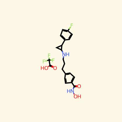 O=C(NO)c1ccc(CCCNC2CC2c2ccc(F)cc2)cc1.O=C(O)C(F)(F)F